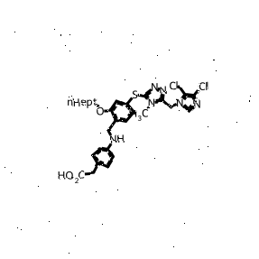 CCCCCCCOc1cc(Sc2nnc(Cn3cnc(Cl)c3Cl)n2C)ccc1CNc1ccc(CC(=O)O)cc1